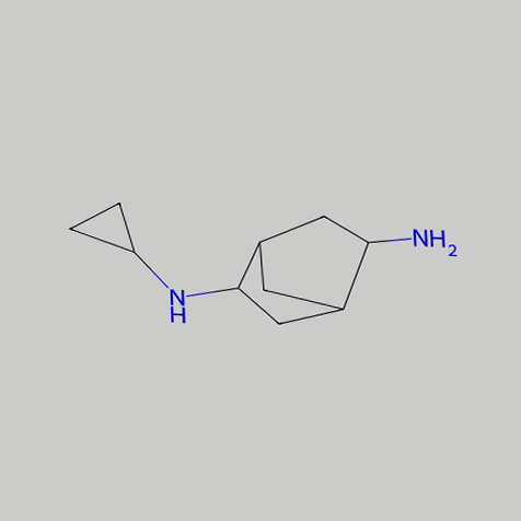 NC1CC2CC1CC2NC1CC1